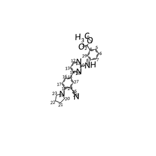 COC(=O)c1cccc(Nc2nccc(-c3ccc(N4CCCC4)c(C#N)c3)n2)c1